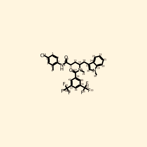 Cc1cc(Cl)ccc1NC(=O)CCC(Cc1cn(C)c2ccccc12)N(C)C(=O)c1cc(C(F)(F)F)cc(C(F)(F)F)c1